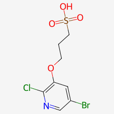 O=S(=O)(O)CCCOc1cc(Br)cnc1Cl